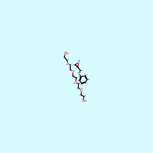 OCCOCCOCCOCCOCCO.c1ccc(OCC2CO2)cc1